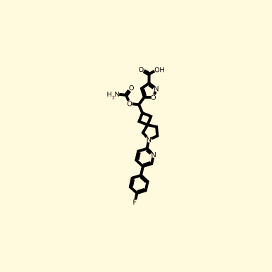 NC(=O)OC(c1cc(C(=O)O)no1)C1CC2(CCN(c3ccc(-c4ccc(F)cc4)cn3)C2)C1